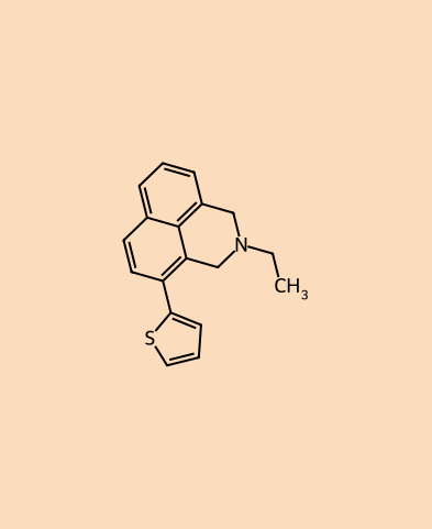 CCN1Cc2cccc3ccc(-c4cccs4)c(c23)C1